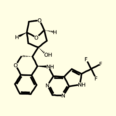 O[C@]1([C@H]2COc3ccccc3[C@@H]2Nc2ncnc3[nH]c(C(F)(F)F)cc23)C[C@@H]2CO[C@@H](C1)O2